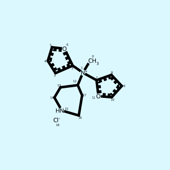 C[N+](c1ccco1)(c1ccco1)C1CCNCC1.[Cl-]